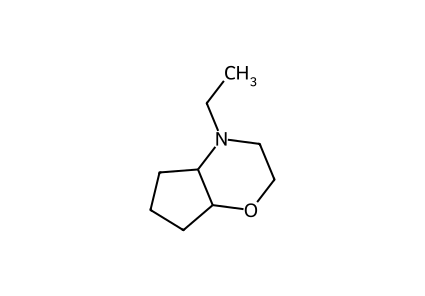 CCN1CCOC2CCCC21